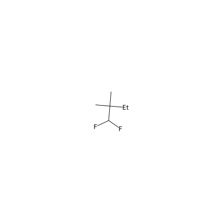 CCC(C)(C)C(F)F